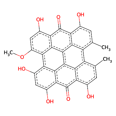 COc1cc(O)c2c(=O)c3c(O)cc(C)c4c5c(C)cc(O)c6c(=O)c7c(O)cc(O)c8c1c2c(c34)c(c65)c78